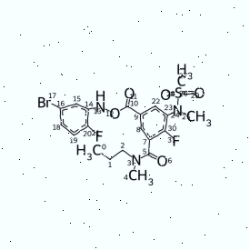 CCCN(C)C(=O)c1cc(C(=O)ONc2cc(Br)ccc2F)cc(N(C)S(C)(=O)=O)c1F